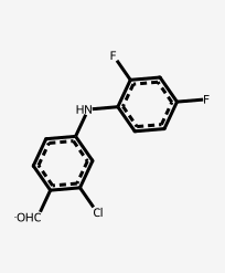 O=[C]c1ccc(Nc2ccc(F)cc2F)cc1Cl